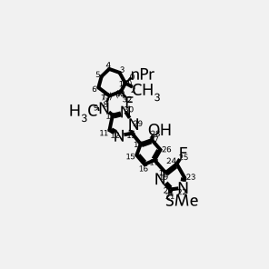 CCC[C@]1(C)CCCC[C@H](N(C)c2cnc(-c3ccc(-c4nc(SC)ncc4F)cc3O)nn2)[C@@H]1F